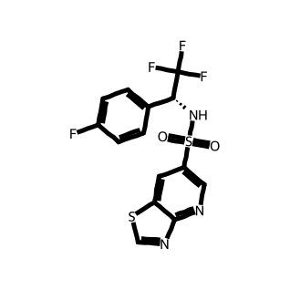 O=S(=O)(N[C@H](c1ccc(F)cc1)C(F)(F)F)c1cnc2ncsc2c1